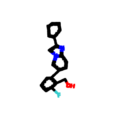 OCc1c(F)cccc1-c1ccc2nc(-c3cc[c]cc3)cn2c1